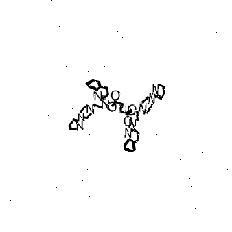 O=C(/C=C/C(=O)ON(CCN1CCN(c2ccccn2)CC1)C1=Nc2ccccc2CC1)ON(CCN1CCN(c2ccccn2)CC1)C1=Nc2ccccc2CC1